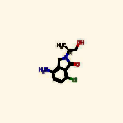 C[C@H](CO)N1Cc2c(N)ccc(Cl)c2C1=O